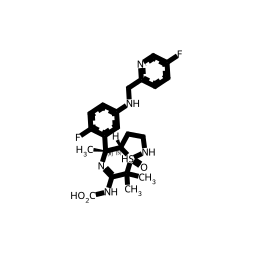 CC1(C)C(NC(=O)O)=N[C@](C)(c2cc(NCc3ccc(F)cn3)ccc2F)[C@@H]2CCN[SH]21=O